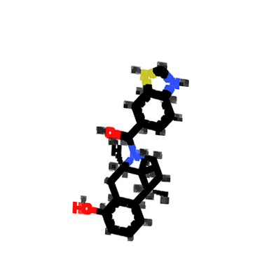 CC1(C)[C@H]2Cc3c(O)cccc3[C@]1(C)CCN2C(=O)c1ccc2ncsc2c1